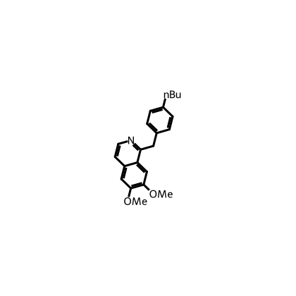 CCCCc1ccc(Cc2nccc3cc(OC)c(OC)cc23)cc1